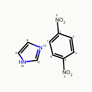 O=[N+]([O-])c1ccc([N+](=O)[O-])cc1.c1c[nH]cn1